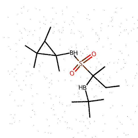 CCC(C)(BC(C)(C)C)S(=O)(=O)BC1(C)C(C)C1(C)C